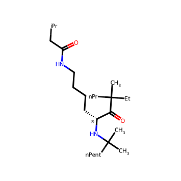 CCCCCC(C)(C)N[C@H](CCCCNC(=O)CC(C)C)C(=O)C(C)(CC)CCC